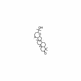 C[C@@H]1CCC(C(C)(C)O)OC2C[C@@]3(C)C4CCC5C(C)(C)C(=O)CCC56CC46CCC3(C)C21